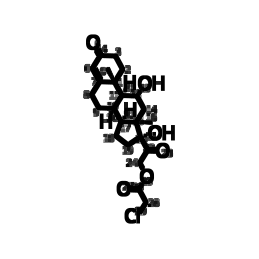 C[C@]12CCC(=O)C=C1CC[C@@H]1[C@@H]2[C@@H](O)C[C@@]2(C)[C@H]1CC[C@]2(O)C(=O)COC(=O)CCl